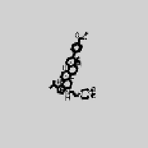 C=C(C)C1CCC2(NCCN3CCS(=O)(=O)CC3)CC[C@]3(C)[C@H](CC[C@@H]4[C@@]5(C)CC=C(c6ccc(C(=O)OC)cc6)C(C)(C)[C@@H]5CC[C@]43C)[C@@H]12